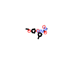 CCOc1ccc(Oc2cc(C)ccc2NC(=O)N(C)OC)cc1